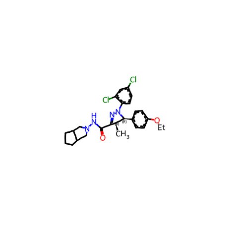 CCOc1ccc([C@H]2[C@@H](C)C(C(=O)NN3CC4CCCC4C3)=NN2c2ccc(Cl)cc2Cl)cc1